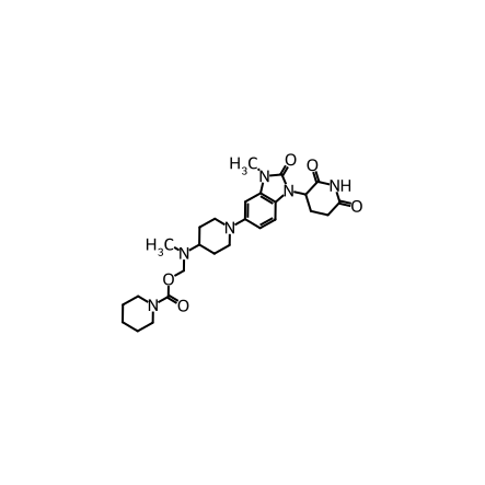 CN(COC(=O)N1CCCCC1)C1CCN(c2ccc3c(c2)n(C)c(=O)n3C2CCC(=O)NC2=O)CC1